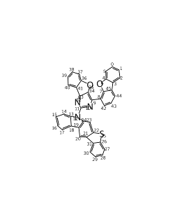 c1ccc2c(c1)oc1c(-c3nc(-n4c5ccccc5c5cc6c(cc54)sc4ccccc46)nc4c3oc3ccccc34)cccc12